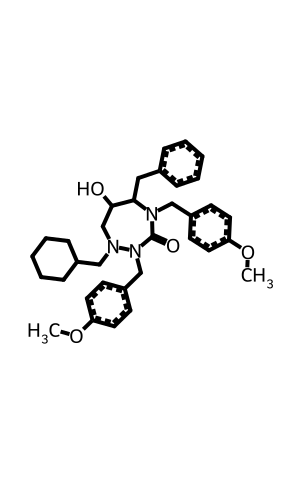 COc1ccc(CN2C(=O)N(Cc3ccc(OC)cc3)N(CC3CCCCC3)CC(O)C2Cc2ccccc2)cc1